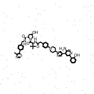 Cc1ncsc1-c1ccc(CNC(=O)[C@@H]2C[C@@H](O)CN2C(=O)[C@@H](NC(=O)Cc2ccc(N3CCC(n4cc(-c5cc(-c6ccccc6O)nnc5N)cn4)CC3)cc2)C(C)(C)C)cc1